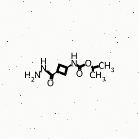 CC(C)OC(=O)N[C@H]1C[C@@H](C(=O)NN)C1